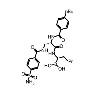 CCCCc1ccc(C(=O)N[C@@H](CNC(=O)c2ccc(S(N)(=O)=O)cc2)C(=O)N[C@@H](CC(C)C)B(O)O)cc1